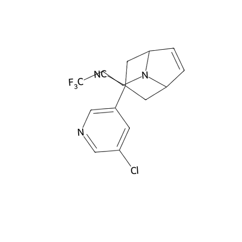 N#CC1(c2cncc(Cl)c2)CC2C=CC(C1)N2CCC(F)(F)F